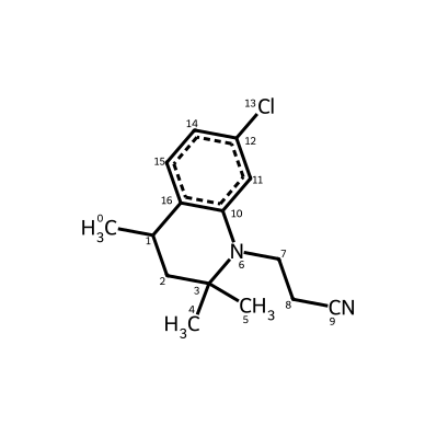 CC1CC(C)(C)N(CCC#N)c2cc(Cl)ccc21